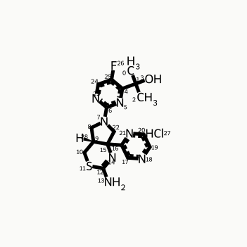 CC(C)(O)c1nc(N2C[C@H]3CSC(N)=NC3(c3cnccn3)C2)ncc1F.Cl